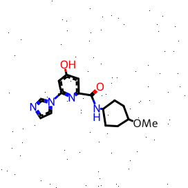 COC1CCC(NC(=O)c2cc(O)cc(-n3ccnc3)n2)CC1